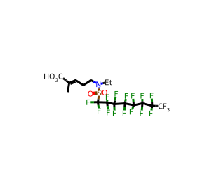 CCN(CCC=C(C)C(=O)O)S(=O)(=O)C(F)(F)C(F)(F)C(F)(F)C(F)(F)C(F)(F)C(F)(F)C(F)(F)C(F)(F)F